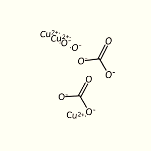 O=C([O-])[O-].O=C([O-])[O-].[Cu+2].[Cu+2].[Cu+2].[O-].[O-]